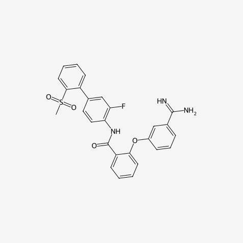 CS(=O)(=O)c1ccccc1-c1ccc(NC(=O)c2ccccc2Oc2cccc(C(=N)N)c2)c(F)c1